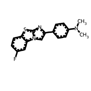 CN(C)c1ccc(-c2cn3c(n2)sc2ccc(F)cc23)cc1